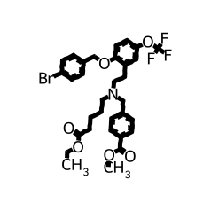 CCOC(=O)CCCCN(CCc1cc(OC(F)(F)F)ccc1OCc1ccc(Br)cc1)Cc1ccc(C(=O)OC)cc1